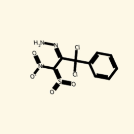 NN=C(C([N+](=O)[O-])=S(=O)=O)C(Cl)(Cl)c1ccccc1